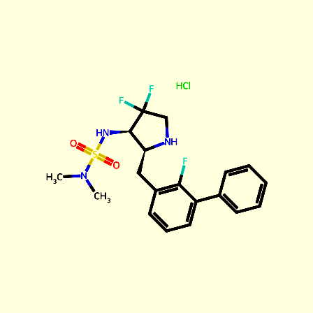 CN(C)S(=O)(=O)N[C@@H]1[C@H](Cc2cccc(-c3ccccc3)c2F)NCC1(F)F.Cl